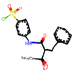 COC(=O)C(Cc1ccccc1)C(=O)Nc1ccc(S(=O)(=O)Cl)cc1